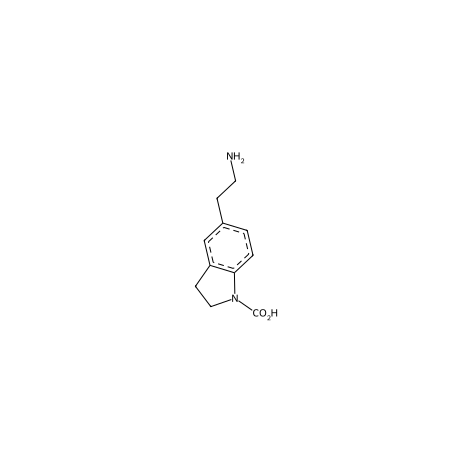 NCCc1ccc2c(c1)CCN2C(=O)O